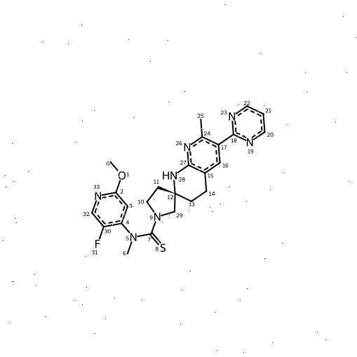 COc1cc(N(C)C(=S)N2CC[C@@]3(CCc4cc(-c5ncccn5)c(C)nc4N3)C2)c(F)cn1